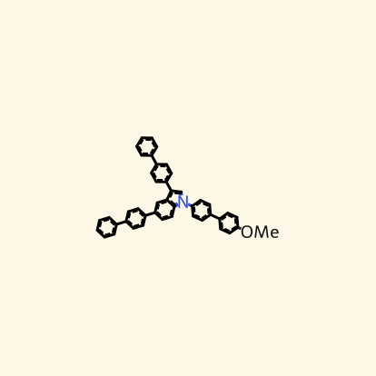 COc1ccc(-c2ccc(-n3cc(-c4ccc(-c5ccccc5)cc4)c4cc(-c5ccc(-c6ccccc6)cc5)ccc43)cc2)cc1